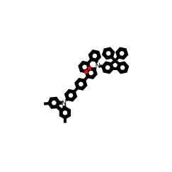 Cc1ccc2c(c1)c1cc(C)ccc1n2-c1ccc(-c2ccc(-c3ccc(N(c4ccc5c(c4)C(c4ccccc4)(c4ccccc4)c4ccccc4-5)c4ccccc4-c4ccccc4)cc3)cc2)cc1